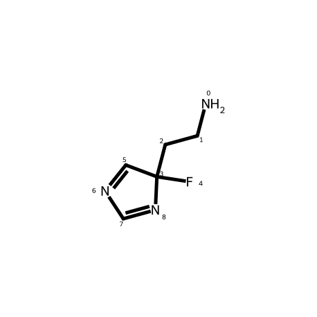 NCCC1(F)C=NC=N1